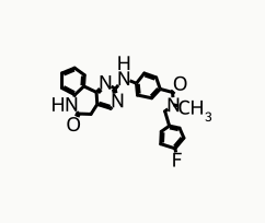 CN(Cc1ccc(F)cc1)C(=O)c1ccc(Nc2ncc3c(n2)-c2ccccc2NC(=O)C3)cc1